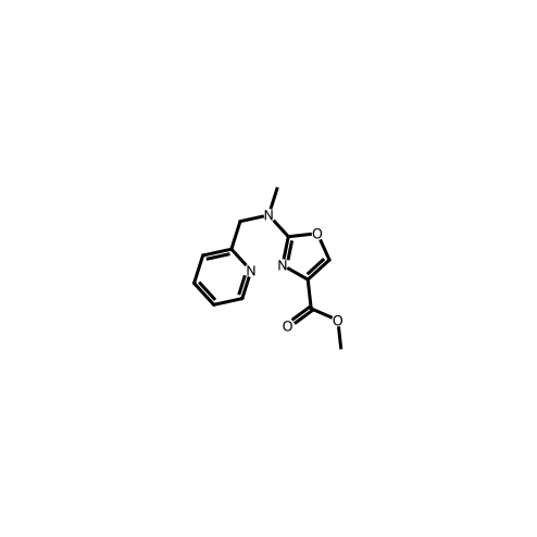 COC(=O)c1coc(N(C)Cc2ccccn2)n1